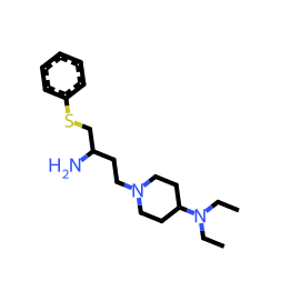 CCN(CC)C1CCN(CCC(N)CSc2ccccc2)CC1